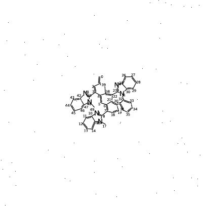 C=C/C=C(\c1cc2c(-c3nc4ccccc4n3C)cccc2c(-c2nc3ccccc3n2-c2ccccc2)c1C)c1nc2ccccc2n1C